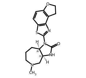 CN1CCC[C@@H]2[C@H](C1)NC(=O)N2c1nc2c3c(ccc2s1)OCC3